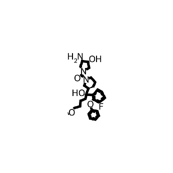 COCCCC[C@@](O)(c1cccc(F)c1Oc1ccccc1)[C@@H]1CCCN(C(=O)N2C[C@@H](N)[C@@H](O)C2)C1